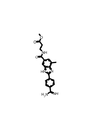 COC(=O)CCNC(=O)c1cc(C)c2nc(-c3ccc(C(=N)N)cc3)[nH]c2c1